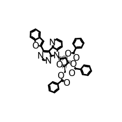 O=C(OC[C@H]1O[C@@H](n2c3cccnc3c3c(-c4cc5ccccc5o4)ncnc32)[C@H](OC(=O)c2ccccc2)[C@@H]1OC(=O)c1ccccc1)c1ccccc1